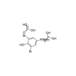 CNc1cc(Br)c(O)c(Br)c1.O=[PH](O)O.O=[PH](O)O